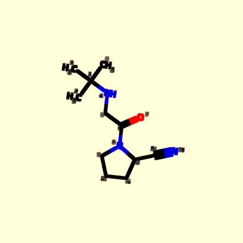 CC(C)(C)NCC(=O)N1CCCC1C#N